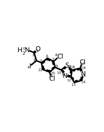 NC(=O)C(I)c1cc(Cl)c(-c2nc3ccnc(Cl)c3s2)c(Cl)c1